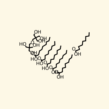 CCCCCCCCC(=O)O.CCCCCCCCC(=O)O.CCCCCCCCC(=O)O.CCCCCCCCC(=O)O.CCCCCCCCC(=O)O.CCCCCCCCC(=O)O.OCC(CO)(CO)COCC(CO)(CO)CO